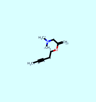 C=C(CN(C)C)OCCC#CC